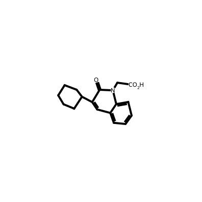 O=C(O)Cn1c(=O)c(C2CCCCC2)cc2ccccc21